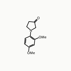 COc1ccc(N2CCC(=O)C2)c(OC)c1